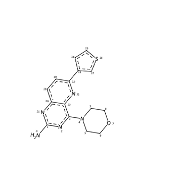 Nc1nc(N2CCOCC2)c2nc(-c3ccsc3)ccc2n1